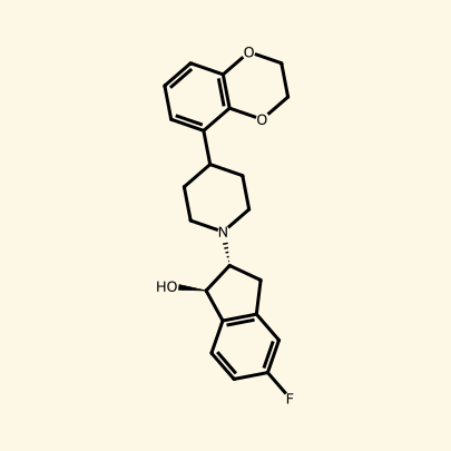 O[C@@H]1c2ccc(F)cc2C[C@H]1N1CCC(c2cccc3c2OCCO3)CC1